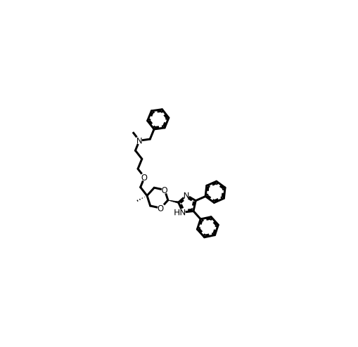 CN(CCCOC[C@]1(C)CO[C@H](c2nc(-c3ccccc3)c(-c3ccccc3)[nH]2)OC1)Cc1ccccc1